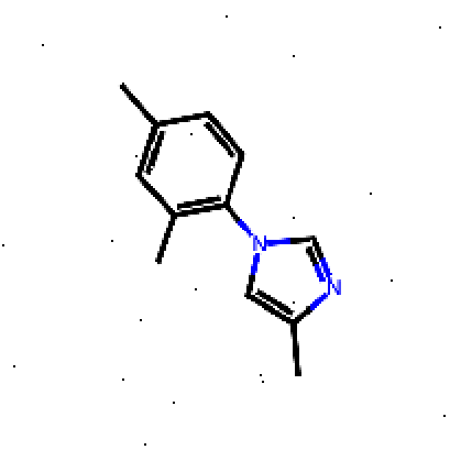 Cc1ccc(-n2cnc(C)c2)c(C)c1